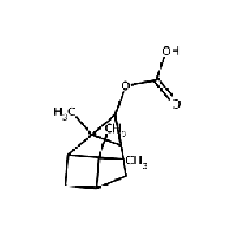 CC1(C)C2CC3C(OC(=O)O)C3(C)C1C2